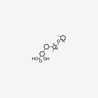 Cc1cccnc1OCc1nc(C)c(-c2cccc(-c3ccc(C(=O)O)c(O)c3)c2)s1